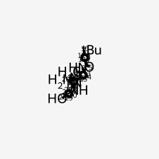 Cc1c(NC(=O)c2ccc(C(C)(C)C)cc2)cccc1-c1nc(N)nc(Nc2ccc(O)cc2)n1